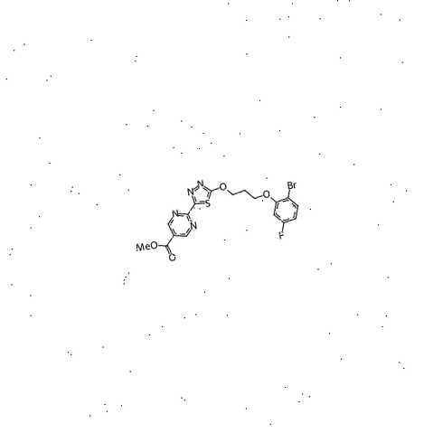 COC(=O)c1cnc(-c2nnc(OCCCOc3cc(F)ccc3Br)s2)nc1